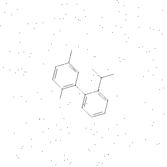 Cc1ccc([O])c(-c2ccccc2C(C)C)c1